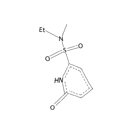 CCN(C)S(=O)(=O)c1cccc(=O)[nH]1